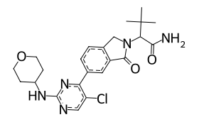 CC(C)(C)C(C(N)=O)N1Cc2ccc(-c3nc(NC4CCOCC4)ncc3Cl)cc2C1=O